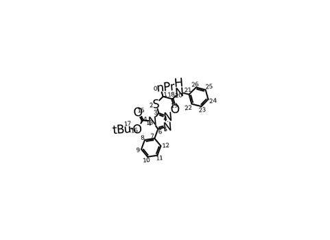 CCCC(Sc1nnc(-c2ccccc2)n1C(=O)OC(C)(C)C)C(=O)Nc1ccccc1